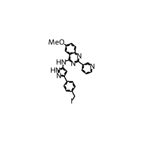 COc1ccc2nc(-c3cccnc3)nc(Nc3cc(-c4ccc(CI)cc4)n[nH]3)c2c1